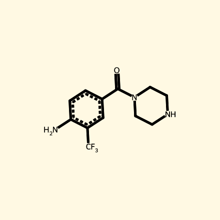 Nc1ccc(C(=O)N2CCNCC2)cc1C(F)(F)F